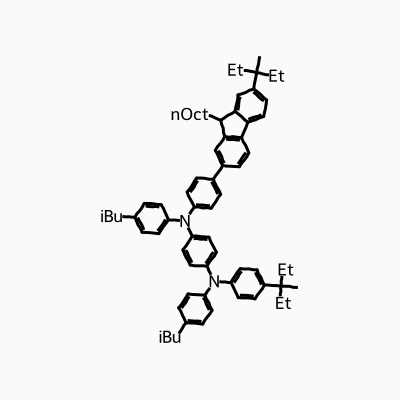 CCCCCCCCC1c2cc(-c3ccc(N(c4ccc(C(C)CC)cc4)c4ccc(N(c5ccc(C(C)CC)cc5)c5ccc(C(C)(CC)CC)cc5)cc4)cc3)ccc2-c2ccc(C(C)(CC)CC)cc21